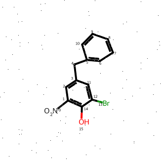 O=[N+]([O-])c1cc(Cc2ccccc2)cc(Br)c1O